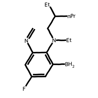 Bc1cc(F)cc(N=C)c1N(CC)CC(CC)CCC